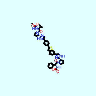 COC(=O)NC(C(=O)N1CCC[C@H]1c1ncc(-c2ccc(-c3cc4ccc(-c5c[nH]c([C@@H]6CCCN6C(=O)[C@H](NC(=O)OC)c6ccccc6)n5)cc4s3)cc2)[nH]1)C(C)C